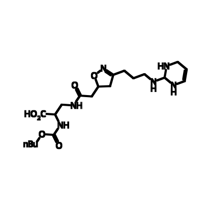 CCCCOC(=O)NC(CNC(=O)CC1CC(CCCNC2NC=CCN2)=NO1)C(=O)O